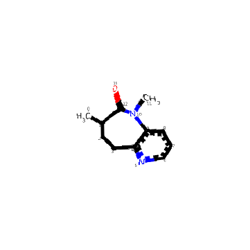 CC1CCc2ncccc2N(C)C1=O